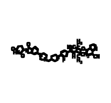 CC1(C)[C@H](NC(=O)c2ccc(N3CCC(CN4CCN(c5ccc6c(c5)CN([C@H]5CCC(=O)NC5=O)C6=O)CC4)CC3)c(F)c2)C(C)(C)[C@H]1Oc1ccc(C#N)c2ncccc12